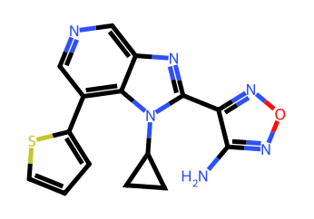 Nc1nonc1-c1nc2cncc(-c3cccs3)c2n1C1CC1